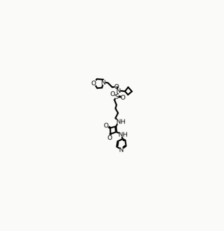 O=c1c(NCCCCCS(=O)(=O)N(OCCN2CCOCC2)C2CCC2)c(Nc2ccncc2)c1=O